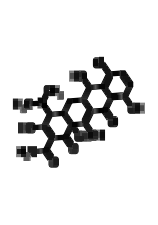 CN(C)C1C(O)=C(C(N)=O)C(=O)C2(O)C(O)=C3C(=O)c4c(O)ccc(Cl)c4C(O)C3CC12